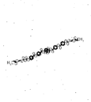 C=CC(=O)OCCOC(=O)OC(=O)Oc1ccc(C(=O)Oc2ccc(C(=O)O[C@@H]3CC[C@@H]4[C@H]3OC[C@H]4OC(=O)c3ccc(OC(=O)c4ccc(OC(=O)OCCOC(=O)C=C)cc4)cc3)cc2)cc1